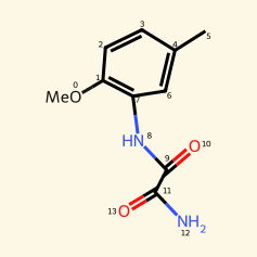 COc1ccc(C)cc1NC(=O)C(N)=O